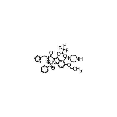 CCOc1ccc2c(c1CN1CCNCC1)c(OC(=O)C(F)(F)F)c(C(=O)NCc1cccs1)n2S(=O)(=O)c1ccccc1